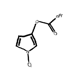 CCCC(=O)Oc1ccn(Cl)c1